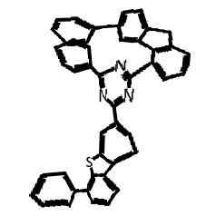 c1ccc(-c2ccc3c(c2)-c2c(cccc2-c2nc(-c4ccccc4)nc(-c4ccc5c(c4)sc4c(-c6ccccc6)cccc45)n2)C3)cc1